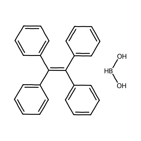 OBO.c1ccc(C(=C(c2ccccc2)c2ccccc2)c2ccccc2)cc1